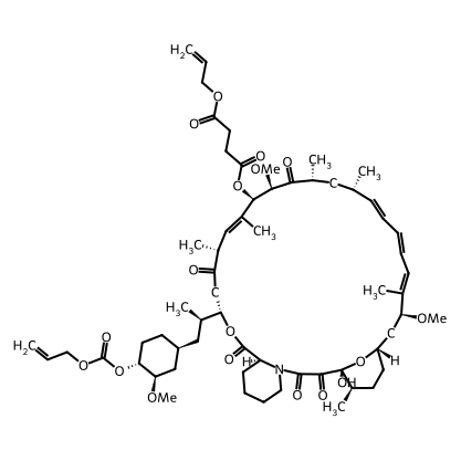 C=CCOC(=O)CCC(=O)O[C@@H]1/C(C)=C/[C@@H](C)C(=O)C[C@@H]([C@H](C)C[C@@H]2CC[C@@H](OC(=O)OCC=C)[C@H](OC)C2)OC(=O)[C@@H]2CCCCN2C(=O)C(=O)[C@]2(O)O[C@@H](CC[C@H]2C)C[C@H](OC)/C(C)=C/C=C/C=C/[C@@H](C)C[C@@H](C)C(=O)[C@@H]1OC